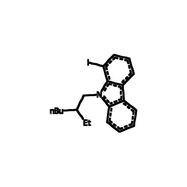 CCCCC(CC)Cn1c2ccccc2c2cccc(I)c21